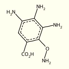 NOc1c(C(=O)O)cc(N)c(N)c1N